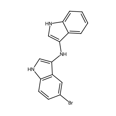 Brc1ccc2[nH]cc(Nc3c[nH]c4ccccc34)c2c1